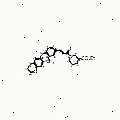 CCOC(=O)C1CCCN(C(=O)C=Cc2ccc(Sc3ccc4c(c3)OCCO4)c(C(F)(F)F)c2)C1